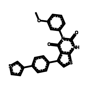 COc1cccc(-n2c(=O)[nH]c3scc(-c4ccc(-c5ccsc5)cc4)c3c2=O)c1